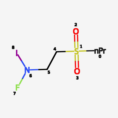 CCCS(=O)(=O)CCN(F)I